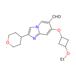 CCOC1CC(Oc2cc3nc(C4CCOCC4)cn3cc2C=O)C1